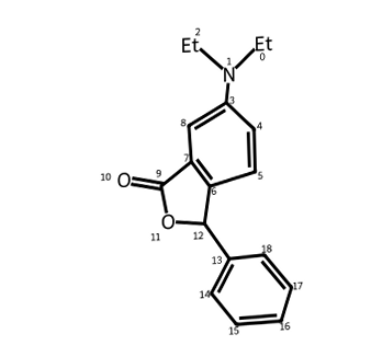 CCN(CC)c1ccc2c(c1)C(=O)OC2c1ccccc1